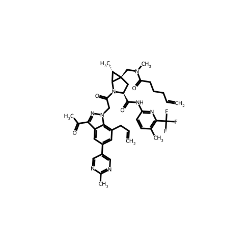 C=CCCCC(=O)N(C)C[C@@]12C[C@@H](C(=O)Nc3ccc(C)c(C(F)(F)F)n3)N(C(=O)Cn3nc(C(C)=O)c4cc(-c5cnc(C)nc5)cc(CC=C)c43)C1[C@@H]2C